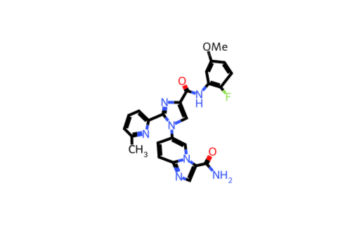 COc1ccc(F)c(NC(=O)c2cn(-c3ccc4ncc(C(N)=O)n4c3)c(-c3cccc(C)n3)n2)c1